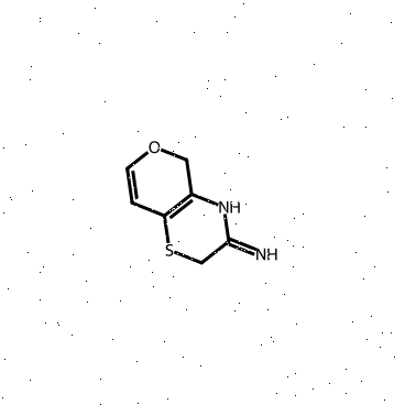 N=C1CSC2=C(COC=C2)N1